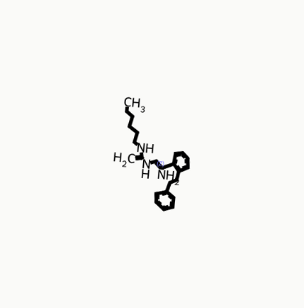 C=C(N/C=C(\N)c1ccccc1CCc1ccccc1)NCCCCCC